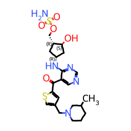 CC1CCCN(Cc2csc(C(=O)c3cncnc3N[C@@H]3C[C@H](COS(N)(=O)=O)[C@@H](O)C3)c2)C1